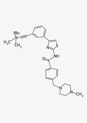 CN1CCN(Cc2ccc(C(=O)Nc3nc(-c4cccc(C#C[Si](C)(C)C(C)(C)C)c4)cs3)cc2)CC1